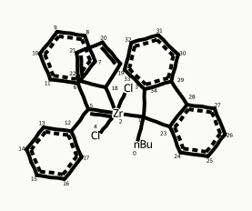 CCCC[C]1([Zr]([Cl])([Cl])(=[C](c2ccccc2)c2ccccc2)[CH]2C=CC=C2)c2ccccc2-c2ccccc21